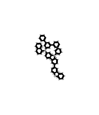 c1ccc(-c2cc(-c3ccccc3)cc(N(c3ccc4c5cc(-c6ccc7oc8ccccc8c7c6)ccc5n(-c5ccccc5)c4c3)c3cccc4ccccc34)c2)cc1